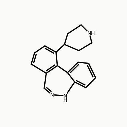 C1=NNc2ccccc2-c2c1cccc2C1CCNCC1